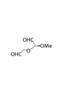 CO[C@H](C=O)OCC=O